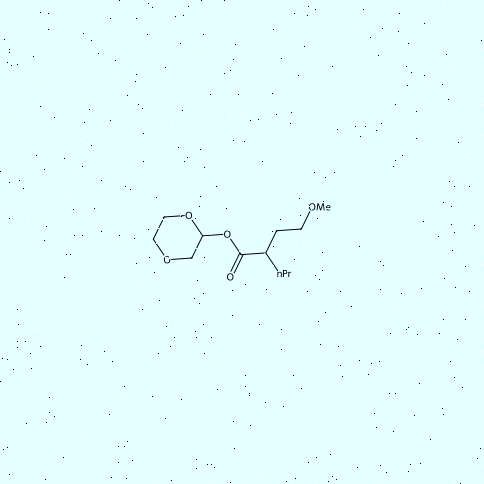 CCCC(CCOC)C(=O)OC1COCCO1